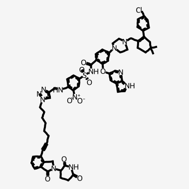 CC1(C)CCC(CN2CCN(c3ccc(C(=O)NS(=O)(=O)c4ccc(NCc5cn(CCCCCCC#Cc6cccc7c6CN(C6CCC(=O)NC6=O)C7=O)nn5)c([N+](=O)[O-])c4)c(Oc4cnc5[nH]ccc5c4)c3)CC2)=C(c2ccc(Cl)cc2)C1